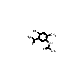 CC(=O)Nc1cc(C(C)=O)c(O)cc1C